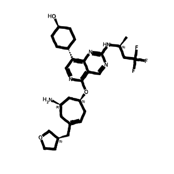 C[C@@H](CC(F)(F)F)Nc1ncc2c(O[C@H]3CC=C(C[C@H]4CCOC4)C[C@@H](N)C3)ncc([C@H]3CC[C@H](O)CC3)c2n1